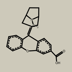 CN1C2CCC1CC(=C1c3ccccc3Oc3cc(C(=O)O)ccc31)C2